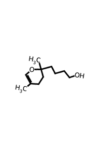 CC1=COC(C)(CCCCO)CC1